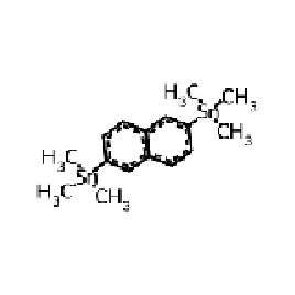 [CH3][Sn]([CH3])([CH3])[c]1ccc2c[c]([Sn]([CH3])([CH3])[CH3])ccc2c1